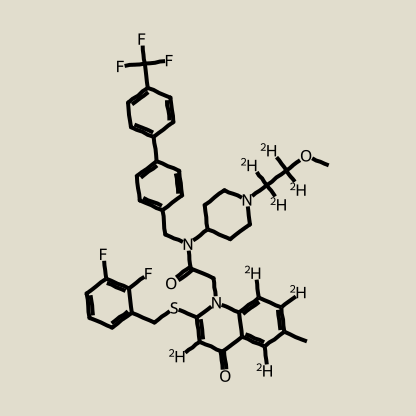 [2H]c1c(C)c([2H])c2c(=O)c([2H])c(SCc3cccc(F)c3F)n(CC(=O)N(Cc3ccc(-c4ccc(C(F)(F)F)cc4)cc3)C3CCN(C([2H])([2H])C([2H])([2H])OC)CC3)c2c1[2H]